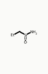 CCC[SiH](N)[O]